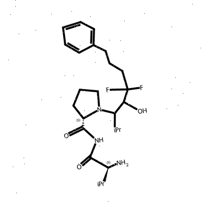 CC(C)C(C(O)C(F)(F)CCCc1ccccc1)N1CCC[C@H]1C(=O)NC(=O)[C@@H](N)C(C)C